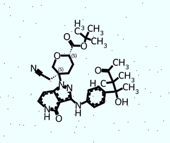 CC(=O)C(C)(C)C(C)(O)c1ccc(Nc2nn([C@]3(CC#N)CC[C@@H](C(=O)OC(C)(C)C)OC3)c3cc[nH]c(=O)c23)cc1